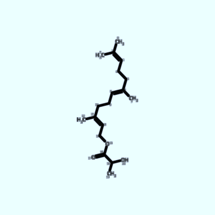 CC(C)=CCCC(C)=CCCC(C)=CCOC(=O)C(C)O